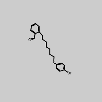 O=Cc1ccccc1CCCCCCCSc1ccc(Br)cc1